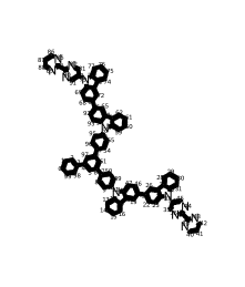 c1ccc(-c2cc(-c3ccc(-n4c5ccccc5c5cc(-c6ccc7c(c6)c6ccccc6n7-c6cnc(-c7ncccn7)nc6)ccc54)cc3)cc(-c3ccc(-n4c5ccccc5c5cc(-c6ccc7c(c6)c6ccccc6n7-c6cnc(-c7ncccn7)nc6)ccc54)cc3)c2)cc1